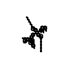 C#CC#CC#CC#CC#COc1ccc2c(-c3ccc4cc(-c5cc(/C=C/C)c(OC)cc5-c5nnc(-c6ccc(C)cc6)o5)ccc4c3)c3cc(OCCCCCCCCCC)ccc3c(-c3cnc4c(ccc5cccnc54)c3)c2c1